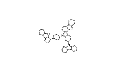 c1ccc2c(c1)oc1c(-c3ccc(-n4c5cc(-n6c7ccccc7c7ccccc76)ccc5c5c6oc7ccccc7c6ccc54)cc3)cccc12